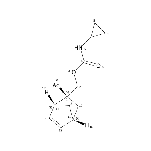 CC(=O)[C@@]1(COC(=O)NC2CC2)C[C@@H]2C=C[C@H]1C2